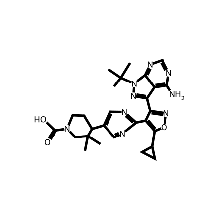 CC1(C)CN(C(=O)O)CCC1c1cnc(-c2c(-c3nn(C(C)(C)C)c4ncnc(N)c34)noc2C2CC2)nc1